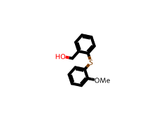 COc1ccccc1Sc1ccccc1CO